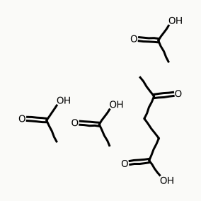 CC(=O)CCC(=O)O.CC(=O)O.CC(=O)O.CC(=O)O